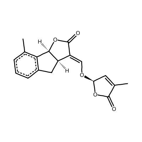 CC1=C[C@H](O/C=C2/C(=O)O[C@@H]3c4c(C)cccc4C[C@H]23)OC1=O